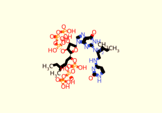 CCC(C)=CCC(OP(=O)(O)OP(=O)(O)OP(=O)(O)O)[C@H]1O[C@@H](n2cnc3c(=O)[nH]c(N)nc32)[C@H](O)[C@@H]1OP(=O)(O)OP(=O)(O)OP(=O)(O)O.CCC(C)=CCNc1cc[nH]c(=O)n1